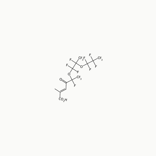 CC(=CC(=O)C(F)(OC(F)(F)C(F)(OC(F)(F)C(F)(F)C(F)(F)F)C(F)(F)F)C(F)(F)F)C(=O)O